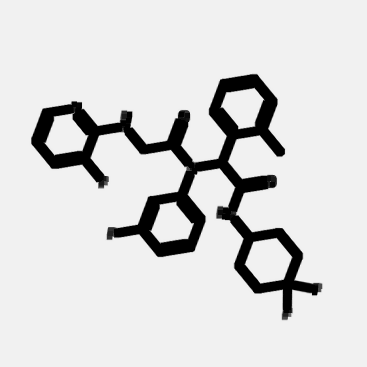 Cc1ccccc1C(C(=O)NC1CCC(F)(F)CC1)N(C(=O)CNc1ncccc1F)c1cccc(F)c1